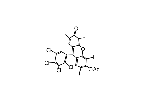 CC(=O)Oc1c(I)cc2c(-c3cc(Cl)c(Cl)c(Cl)c3Cl)c3cc(I)c(=O)c(I)c-3oc2c1I